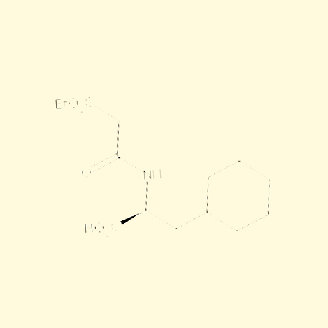 CCOC(=O)CC(=O)N[C@@H](CC1CCCCC1)C(=O)O